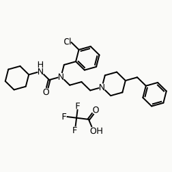 O=C(NC1CCCCC1)N(CCCN1CCC(Cc2ccccc2)CC1)Cc1ccccc1Cl.O=C(O)C(F)(F)F